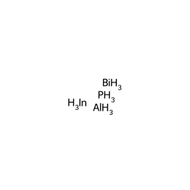 P.[AlH3].[BiH3].[InH3]